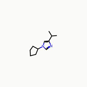 CC(C)c1cn(C2CCCC2)cn1